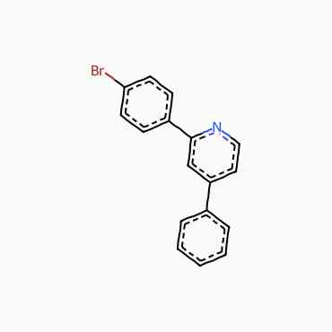 Brc1ccc(-c2cc(-c3ccccc3)ccn2)cc1